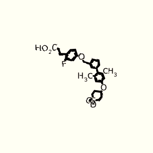 Cc1cc(OC2CCS(=O)(=O)CC2)cc(C)c1-c1cccc(COc2ccc(CCC(=O)O)c(F)c2)c1